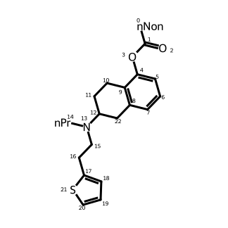 CCCCCCCCCC(=O)Oc1cccc2c1CCC(N(CCC)CCc1cccs1)C2